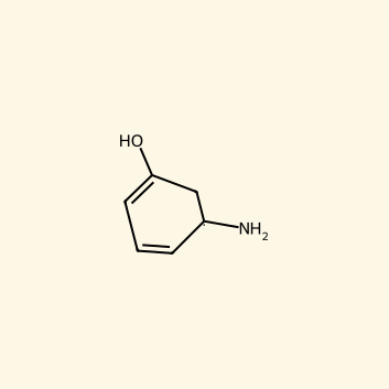 N[C]1C=CC=C(O)C1